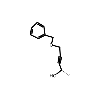 C[C@H](O)C#CCOCc1ccccc1